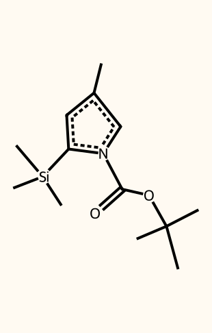 Cc1cc([Si](C)(C)C)n(C(=O)OC(C)(C)C)c1